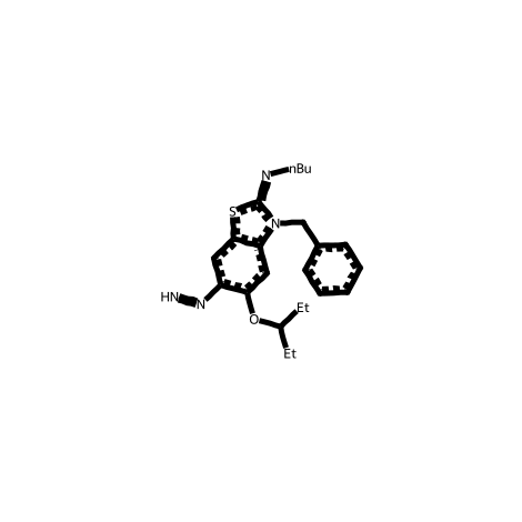 CCCCN=c1sc2cc(N=N)c(OC(CC)CC)cc2n1Cc1ccccc1